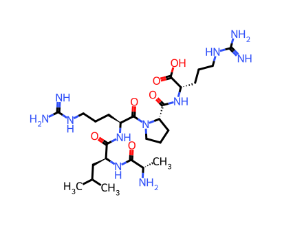 CC(C)C[C@H](NC(=O)[C@H](C)N)C(=O)N[C@@H](CCCNC(=N)N)C(=O)N1CCC[C@H]1C(=O)N[C@@H](CCCNC(=N)N)C(=O)O